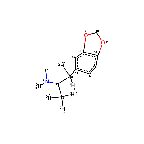 [2H]N(C)C(C([2H])([2H])[2H])C([2H])([2H])c1ccc2c(c1)OCO2